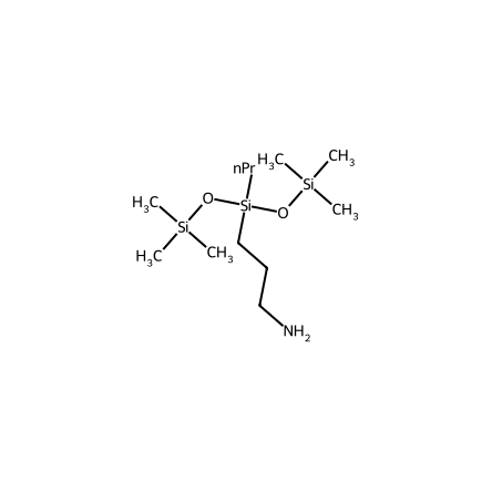 CCC[Si](CCCN)(O[Si](C)(C)C)O[Si](C)(C)C